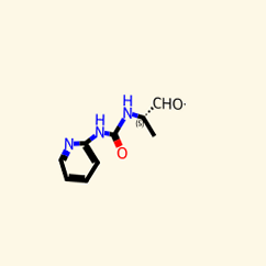 C[C@@H]([C]=O)NC(=O)Nc1ccccn1